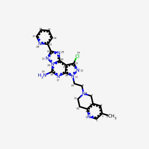 Cc1cnc2c(c1)CN(CCn1nc(Cl)c3c1nc(N)n1nc(-c4ccccn4)nc31)CC2